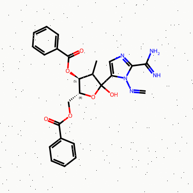 C=Nn1c(C2(O)O[C@H](COC(=O)c3ccccc3)[C@@H](OC(=O)c3ccccc3)C2C)cnc1C(=N)N